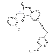 COc1ccc(CC#Cc2ccc3c(c2)C(=O)/C(=C\c2cccc(Cl)c2)C(=O)N3)cn1